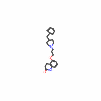 O=C1CCc2c(cccc2OCCCN2CCC(Cc3ccccc3)CC2)N1